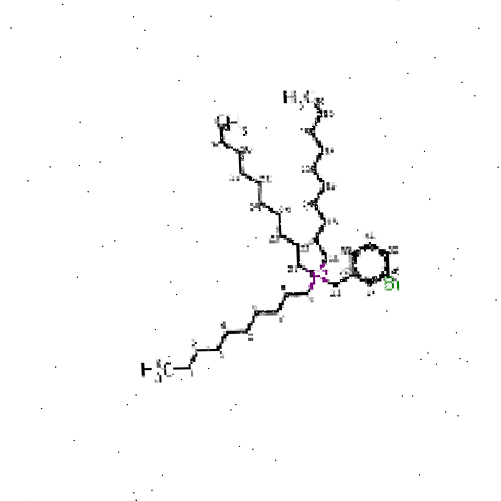 CCCCCCCCCC[P+](CCCCCCCCCC)(CCCCCCCCCC)Cc1ccccc1.[Br-]